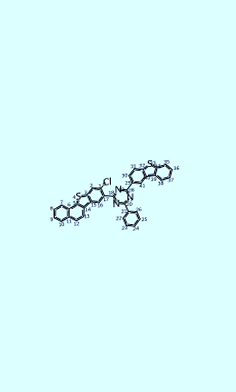 Clc1cc2sc3c4ccccc4ccc3c2cc1-c1nc(-c2ccccc2)nc(-c2ccc3sc4ccccc4c3c2)n1